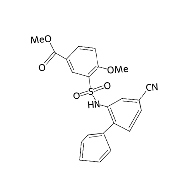 COC(=O)c1ccc(OC)c(S(=O)(=O)Nc2cc(C#N)ccc2-c2ccccc2)c1